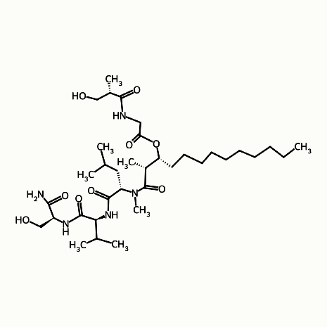 CCCCCCCCCC[C@@H](OC(=O)CNC(=O)[C@@H](C)CO)[C@@H](C)C(=O)N(C)[C@@H](CC(C)C)C(=O)N[C@H](C(=O)N[C@@H](CO)C(N)=O)C(C)C